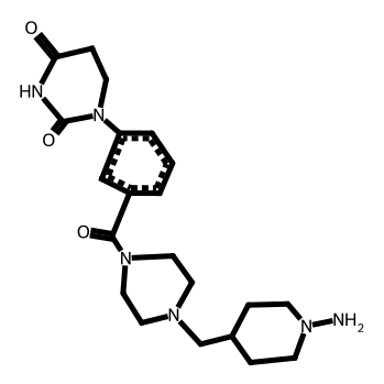 NN1CCC(CN2CCN(C(=O)c3cccc(N4CCC(=O)NC4=O)c3)CC2)CC1